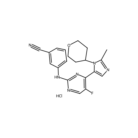 Cc1ncc(-c2nc(Nc3cccc(C#N)c3)ncc2F)n1C1CCOCC1.Cl